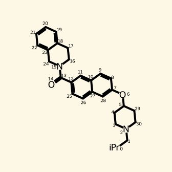 CC(C)CN1CCC(Oc2ccc3cc(C(=O)N4CCc5ccccc5C4)ccc3c2)CC1